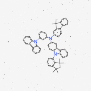 CC1(C)CC(C)(C)c2c(-n3c4ccccc4c4cc(N(c5cccc(-n6c7ccccc7c7ccccc76)c5)c5ccc6c(c5)C(C)(C)c5ccccc5-6)ccc43)cccc21